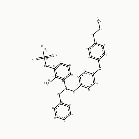 CC(=O)CCc1ccc(Oc2ccc(CN(Cc3ccccc3)c3cccc(NS(C)(=O)=O)c3C)cc2)cc1